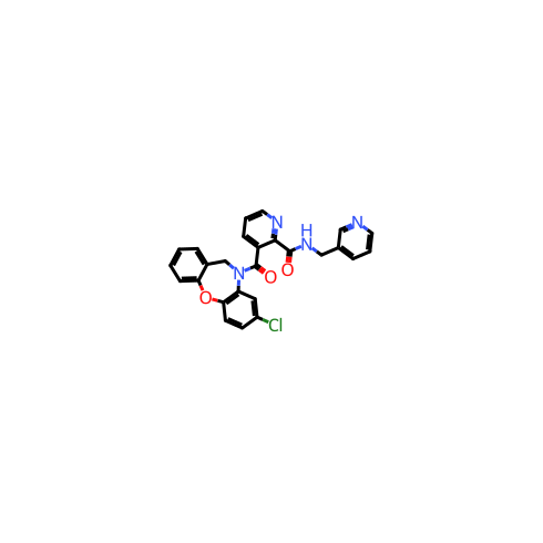 O=C(NCc1cccnc1)c1ncccc1C(=O)N1Cc2ccccc2Oc2ccc(Cl)cc21